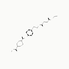 CCOC(=O)CCC(=O)OCCc1ccc(OC(=O)C2CCC(C(=O)OC)CC2)cc1